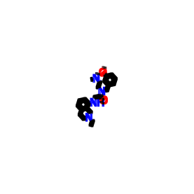 CCN1CCc2cccc(NCC(=O)N(CCN(C)C)Cc3cccc(OC)c3)c2C1